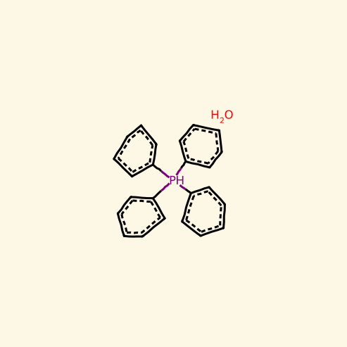 O.c1ccc([PH](c2ccccc2)(c2ccccc2)c2ccccc2)cc1